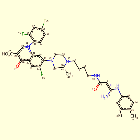 CCc1cc(N/C(N)=C/C(=O)NCCCCN2CCN(c3cc4c(cc3F)c(=O)c(C(=O)O)cn4-c3ccc(F)cc3F)C[C@H]2C)ccc1C